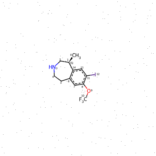 C[C@@H]1CNCCc2cc(OC(F)(F)F)c(I)cc21